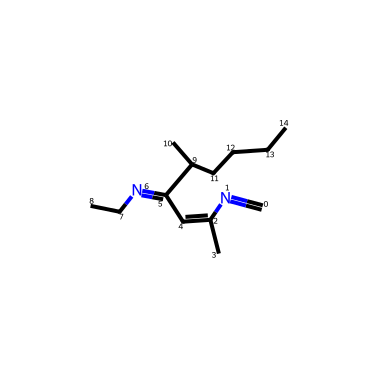 C=N/C(C)=C\C(=N/CC)C(C)CCCC